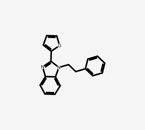 c1ccc(CCn2c(-c3ccco3)nc3ccccc32)cc1